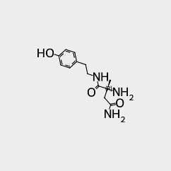 C[C@@](N)(CC(N)=O)C(=O)NCCc1ccc(O)cc1